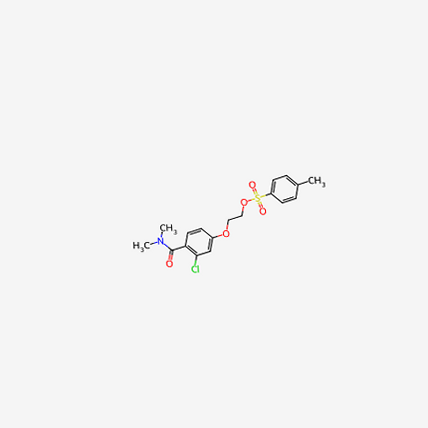 Cc1ccc(S(=O)(=O)OCCOc2ccc(C(=O)N(C)C)c(Cl)c2)cc1